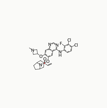 C=CC(=O)N1C2CCC1CC(Oc1cc3c(Nc4ccc(Cl)c(Cl)c4F)ncnc3cc1OC1CN(C)C1)C2